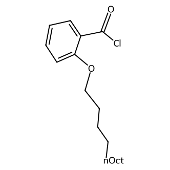 CCCCCCCCCCCCOc1ccccc1C(=O)Cl